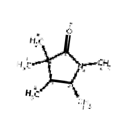 CC1[C@H](C)N(C)C(=O)C1(C)C